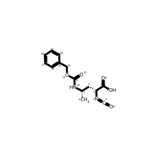 C[C@@H](C[C@@H](N=C=O)C(=O)O)NC(=O)OCc1ccccc1